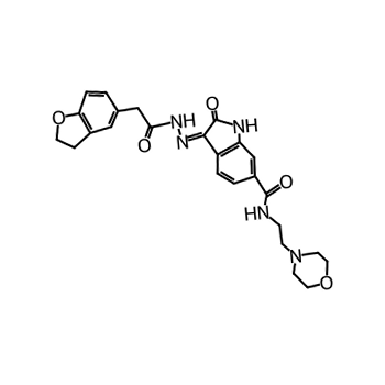 O=C(Cc1ccc2c(c1)CCO2)NN=C1C(=O)Nc2cc(C(=O)NCCN3CCOCC3)ccc21